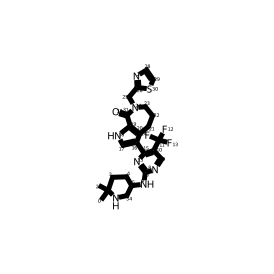 CC1(C)CCC(Nc2ncc(C(F)(F)F)c(-c3c[nH]c4c3CCCN(Cc3nccs3)C4=O)n2)CN1